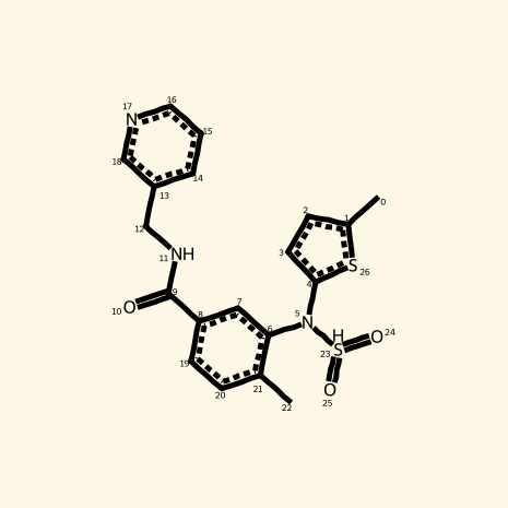 Cc1ccc(N(c2cc(C(=O)NCc3cccnc3)ccc2C)[SH](=O)=O)s1